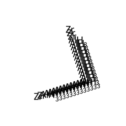 [AlH3].[AlH3].[AlH3].[AlH3].[AlH3].[AlH3].[AlH3].[AlH3].[AlH3].[AlH3].[AlH3].[AlH3].[AlH3].[AlH3].[AlH3].[AlH3].[AlH3].[AlH3].[AlH3].[AlH3].[AlH3].[AlH3].[AlH3].[AlH3].[AlH3].[Zr].[Zr].[Zr].[Zr].[Zr]